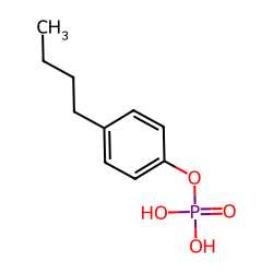 CCCCc1ccc(OP(=O)(O)O)cc1